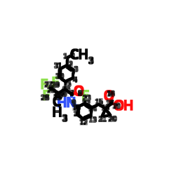 CCC1=CCC([C@@H](C(=O)Nc2cccc(CC3(C(=O)O)CC3)c2F)[C@@H](C)C(F)(F)F)C=C1